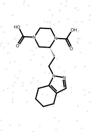 O=C(O)N1CCN(C(=O)O)[C@H](CCn2ncc3c2CCCC3)C1